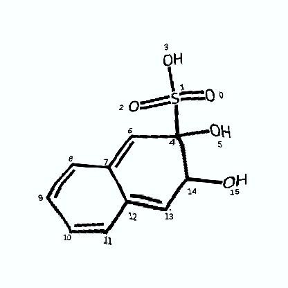 O=S(=O)(O)C1(O)C=c2ccccc2=[C]C1O